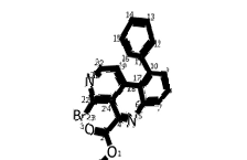 COC(=O)c1nc2cccc(-c3ccccc3)c2c2ccnc(Br)c12